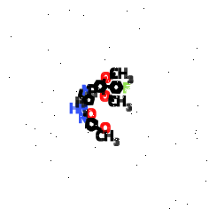 CCOc1cc(CN2CC[C@H]3C(Nc4nc5ccc(C(C)=O)cc5o4)CC[C@H]32)cc(OCC)c1-c1ccc(F)cc1